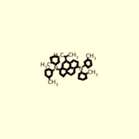 Cc1cccc(N(c2ccccc2C)c2ccc3ccc4c(N(c5cccc(C)c5)c5ccccc5C)ccc5c(C(C)C)cc2c3c54)c1